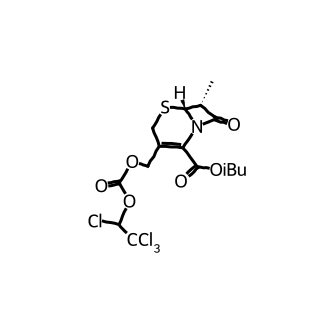 CC(C)COC(=O)C1=C(COC(=O)OC(Cl)C(Cl)(Cl)Cl)CS[C@@H]2[C@H](C)C(=O)N12